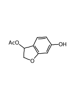 CC(=O)OC1COc2cc(O)ccc21